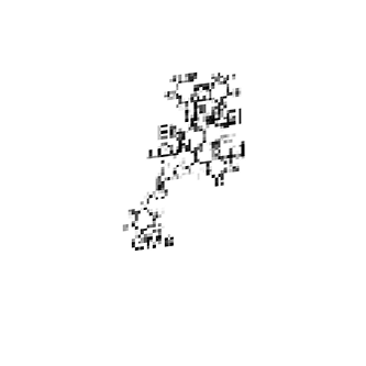 C=CC[C@@]1(CCOCc2ccc(OC)cc2)C[C@H](c2cccc(Cl)c2)[C@@H](c2ccc(Cl)cc2)N([C@@H](CC)CO[Si](c2ccccc2)(c2ccccc2)C(C)(C)C)C1=O